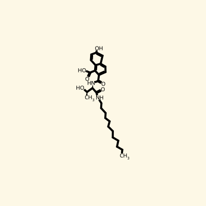 CCCCCCCCCCCCNC(=O)[C@@H](NC(=O)c1ccc2cc(O)ccc2c1C(=O)O)[C@@H](C)O